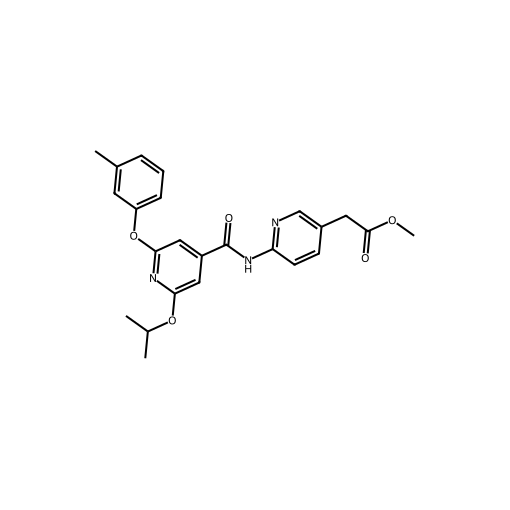 COC(=O)Cc1ccc(NC(=O)c2cc(Oc3cccc(C)c3)nc(OC(C)C)c2)nc1